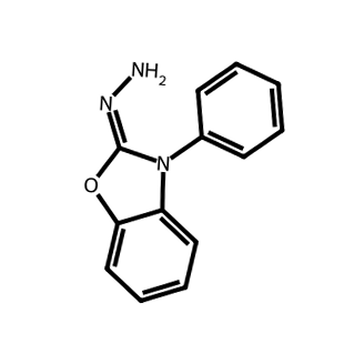 NN=c1oc2ccccc2n1-c1ccccc1